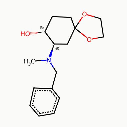 CN(Cc1ccccc1)[C@@H]1CC2(CC[C@H]1O)OCCO2